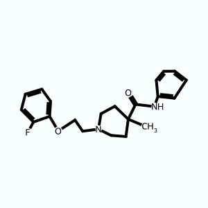 CC1(C(=O)Nc2ccccc2)CCN(CCOc2ccccc2F)CC1